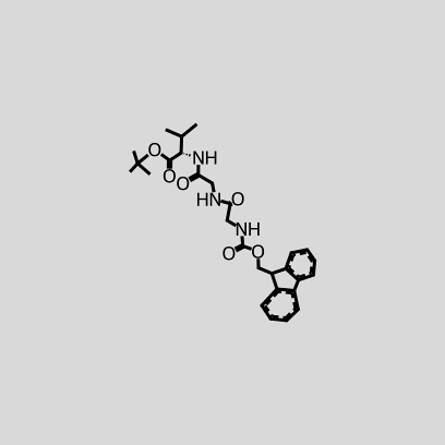 CC(C)[C@H](NC(=O)CNC(=O)CNC(=O)OCC1c2ccccc2-c2ccccc21)C(=O)OC(C)(C)C